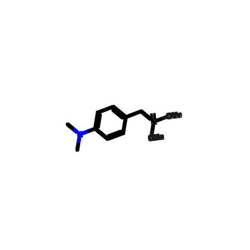 CO[SiH](Cc1ccc(N(C)C)cc1)OC